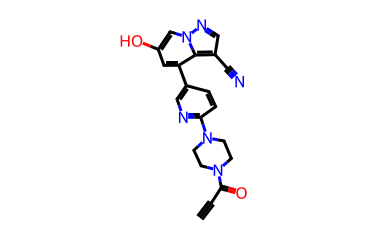 C#CC(=O)N1CCN(c2ccc(-c3cc(O)cn4ncc(C#N)c34)cn2)CC1